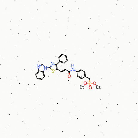 CCOP(=O)(Cc1ccc(NC(=O)/C=C/c2sc(-n3cnc4ccccc43)nc2-c2ccccc2)cc1)OCC